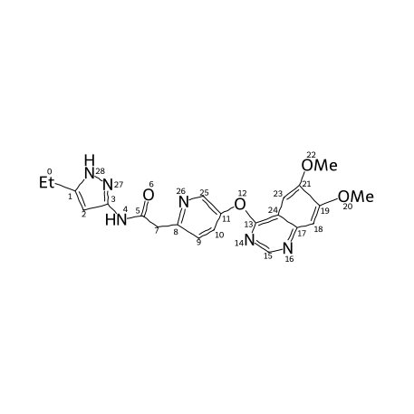 CCc1cc(NC(=O)Cc2ccc(Oc3ncnc4cc(OC)c(OC)cc34)cn2)n[nH]1